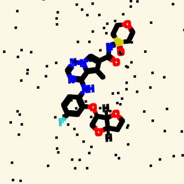 Cc1c(C(=O)N=S2(=O)CCOCC2)cn2ncnc(Nc3ccc(F)cc3O[C@@H]3CO[C@@H]4CCO[C@@H]43)c12